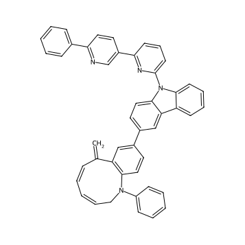 C=C1/C=C\C=C/CN(c2ccccc2)c2ccc(-c3ccc4c(c3)c3ccccc3n4-c3cccc(-c4ccc(-c5ccccc5)nc4)n3)cc21